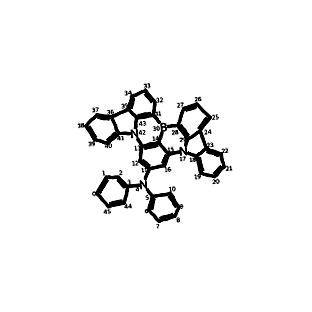 c1ccc(N(c2ccccc2)c2cc3c4c(c2)-n2c5ccccc5c5cccc(c52)B4c2cccc4c5ccccc5n-3c24)cc1